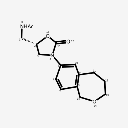 CC(=O)NC[C@H]1CN(c2ccc3c(c2)CCCOC3)C(=O)O1